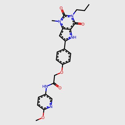 CCCn1c(=O)c2[nH]c(-c3ccc(OCC(=O)Nc4ccc(OC)nc4)cc3)cc2n(C)c1=O